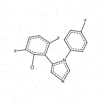 Fc1ccc(-n2cncc2-c2c(F)ccc(F)c2Cl)cc1